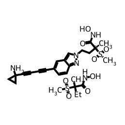 CCC(C)(C(=O)NO)S(C)(=O)=O.C[C@@](CCn1cc2cc(C#CC#CC3(N)CC3)ccc2n1)(C(=O)NO)S(C)(=O)=O